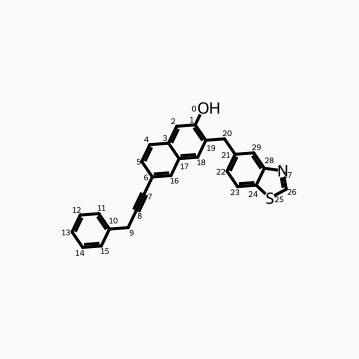 Oc1cc2ccc(C#CCc3ccccc3)cc2cc1Cc1ccc2scnc2c1